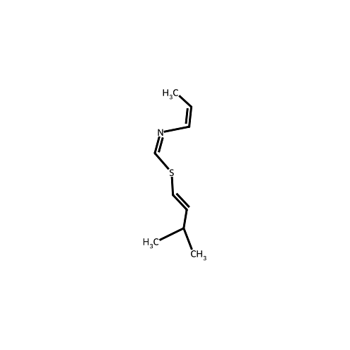 C/C=C\N=C/S/C=C/C(C)C